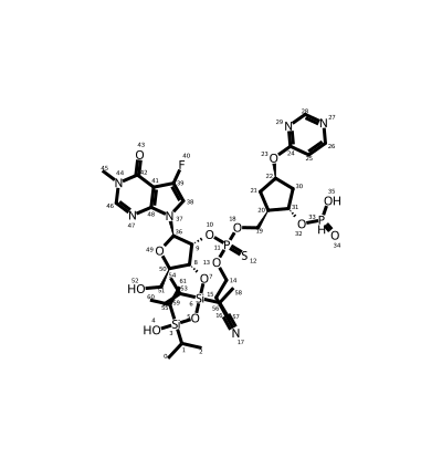 CC(C)[Si](O)(O[Si](O[C@H]1[C@@H](OP(=S)(OCCC#N)OC[C@H]2C[C@@H](Oc3ccncn3)C[C@@H]2O[PH](=O)O)[C@H](n2cc(F)c3c(=O)n(C)cnc32)O[C@@H]1CO)(C(C)C)C(C)C)C(C)C